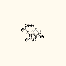 COC(=O)CCN1C(=O)COc2c(C(C)C)cccc21